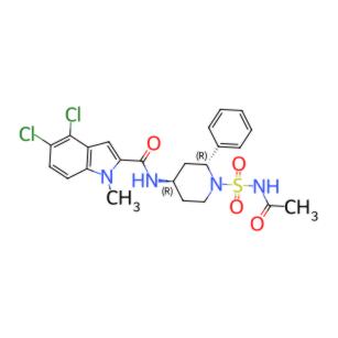 CC(=O)NS(=O)(=O)N1CC[C@@H](NC(=O)c2cc3c(Cl)c(Cl)ccc3n2C)C[C@@H]1c1ccccc1